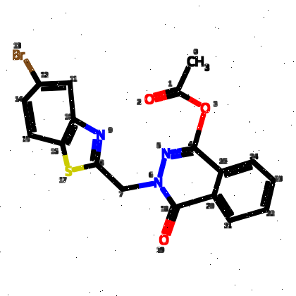 CC(=O)Oc1nn(Cc2nc3cc(Br)ccc3s2)c(=O)c2ccccc12